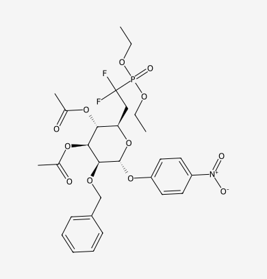 CCOP(=O)(OCC)C(F)(F)C[C@H]1O[C@H](Oc2ccc([N+](=O)[O-])cc2)[C@@H](OCc2ccccc2)[C@@H](OC(C)=O)[C@@H]1OC(C)=O